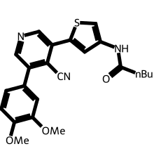 CCCCC(=O)Nc1csc(-c2cncc(-c3ccc(OC)c(OC)c3)c2C#N)c1